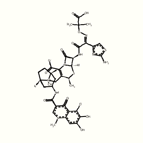 C[C@@H]1S[C@@H]2[C@H](NC(=O)/C(=N\OC(C)(C)C(=O)O)c3csc(N)n3)C(=O)N2C(C(=O)[O-])=C1C[N@@+]1(C)[C@@H]2CC[C@H]1CC(NC(=O)c1cn(C)c3cc(O)c(O)c(Cl)c3c1=O)C2